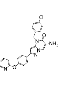 Nc1cn2nc(-c3ccc(Oc4ccccn4)cc3)cc2n(Cc2ccc(Cl)cc2)c1=O